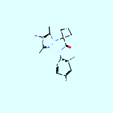 Cc1nn(C2(C(=O)Nc3ccc(C(F)(F)F)cc3Cl)CCC2)c(C)c1I